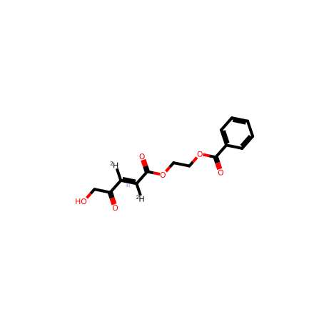 [2H]/C(C(=O)CO)=C(/[2H])C(=O)OCCOC(=O)c1ccccc1